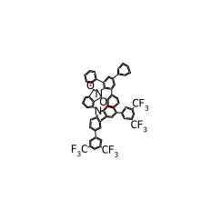 O=C1c2cccc(-n3c4ccc(-c5cc(C(F)(F)F)cc(C(F)(F)F)c5)cc4c4cc(-c5cc(C(F)(F)F)cc(C(F)(F)F)c5)ccc43)c2C(=O)N1c1c(-c2ccccc2)cc(-c2ccccc2)cc1-c1ccccc1